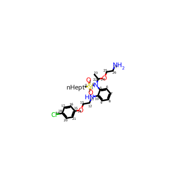 CCCCCCCS(=O)(=O)N(c1ccccc1NCCOc1ccc(Cl)cc1)C(C)OCCN